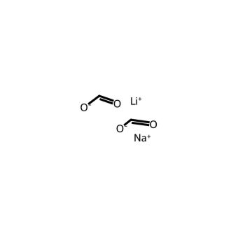 O=C[O-].O=C[O-].[Li+].[Na+]